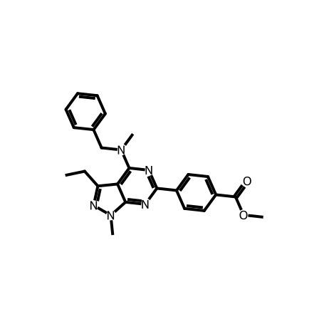 CCc1nn(C)c2nc(-c3ccc(C(=O)OC)cc3)nc(N(C)Cc3ccccc3)c12